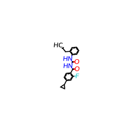 C#CCc1ccccc1NC(=O)NC(=O)c1ccc(C2CC2)cc1F